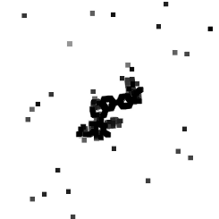 CCCc1c(C)nc(CN(C)C)nc1N1CCOc2ccc(-c3ccc4nc(C)[nH]c4c3)cc2C1